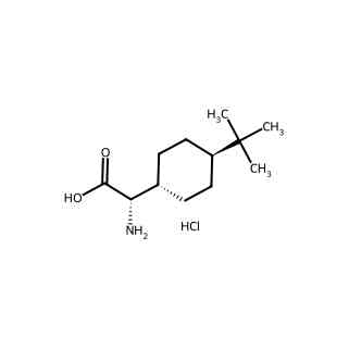 CC(C)(C)[C@H]1CC[C@H]([C@H](N)C(=O)O)CC1.Cl